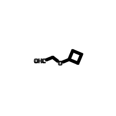 O=CCOC1CCC1